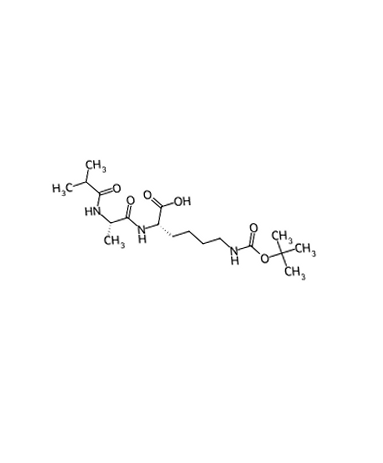 CC(C)C(=O)N[C@@H](C)C(=O)N[C@@H](CCCCNC(=O)OC(C)(C)C)C(=O)O